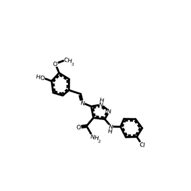 COc1cc(/C=N/c2[nH]nc(Nc3cccc(Cl)c3)c2C(N)=O)ccc1O